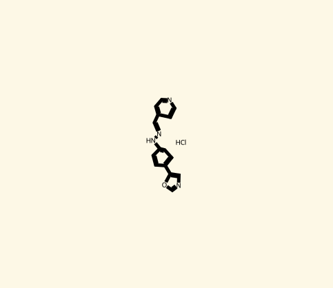 C(=NNc1ccc(-c2cnco2)cc1)c1ccncc1.Cl